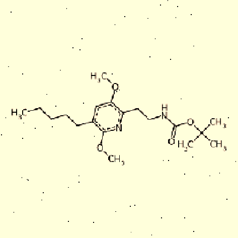 CCCCCc1cc(OC)c(CCNC(=O)OC(C)(C)C)nc1OC